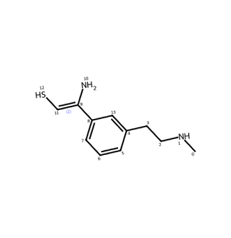 CNCCc1cccc(/C(N)=C/S)c1